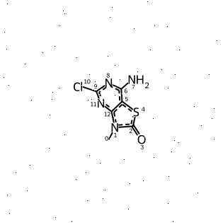 Cn1c(=O)sc2c(N)nc(Cl)nc21